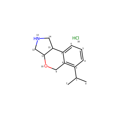 CC(C)c1cccc2c1COC1CNCC21.Cl